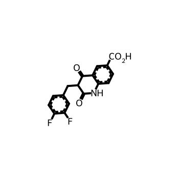 O=C(O)c1ccc2c(c1)C(=O)C(Cc1ccc(F)c(F)c1)C(=O)N2